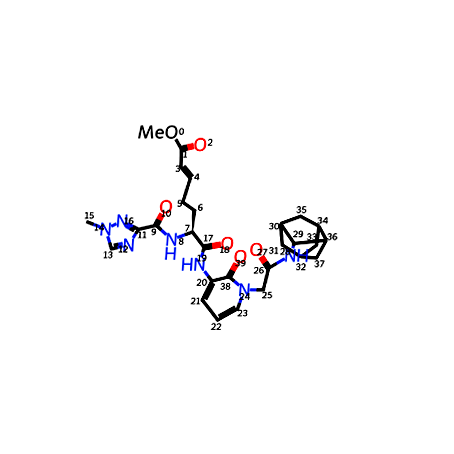 COC(=O)/C=C/CC[C@H](NC(=O)c1ncn(C)n1)C(=O)Nc1cccn(CC(=O)NC2C3CC4CC(C3)C2C4)c1=O